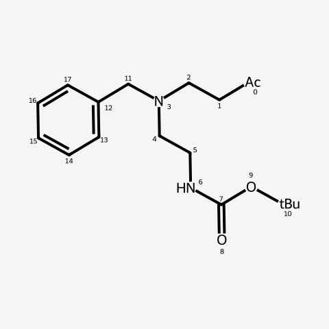 CC(=O)CCN(CCNC(=O)OC(C)(C)C)Cc1ccccc1